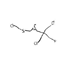 FC(Cl)(Cl)SSCl